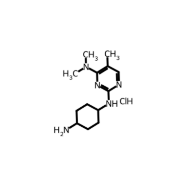 Cc1cnc(NC2CCC(N)CC2)nc1N(C)C.Cl